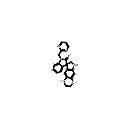 O=C1N(Cc2ncccn2)c2ccccc2C12COc1cc3c(cc12)OCCO3